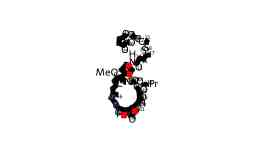 COc1cc2cc(c1-c1ccc(NC(=O)CCC(C)SSC(C)CCC(=O)ON3C(=O)CCC3=O)cc1)N(C)C(=O)C[C@H](OC(=O)C(C)C)[C@]1(C)O[C@H]1[C@H](C)[C@@H]1C[C@@](O)(NC(=O)O1)[C@H](OC)/C=C/C=C(\C)C2